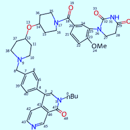 CCCCn1cc(-c2ccc(CN3CCC(OC4CCN(C(=O)c5ccc(OC)c(N6CCC(=O)NC6=O)c5)CC4)CC3)cc2)c2ccncc2c1=O